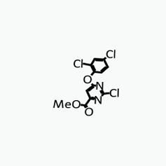 COC(=O)c1cc(Oc2ccc(Cl)cc2Cl)nc(Cl)n1